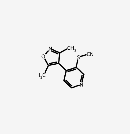 Cc1noc(C)c1-c1ccncc1SC#N